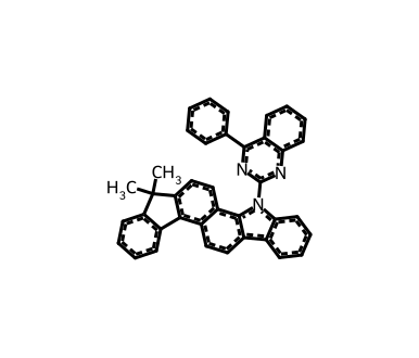 CC1(C)c2ccccc2-c2c1ccc1c2ccc2c3ccccc3n(-c3nc(-c4ccccc4)c4ccccc4n3)c12